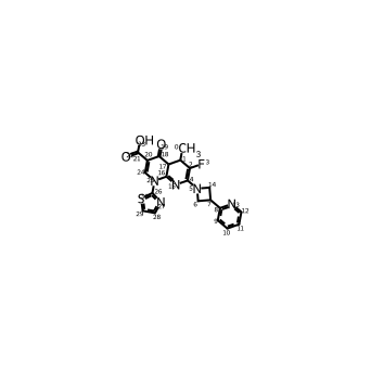 CC1C(F)=C(N2CC(c3ccccn3)C2)N=C2C1C(=O)C(C(=O)O)=CN2c1nccs1